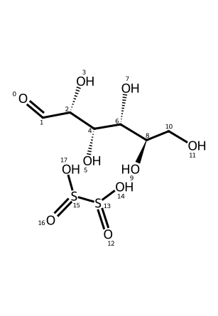 O=C[C@H](O)[C@@H](O)[C@H](O)[C@H](O)CO.O=S(O)S(=O)O